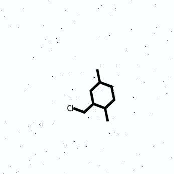 CC1[CH]CC(C)C(CCl)C1